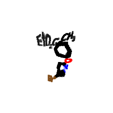 CCOC(=O)[C@]1(C)CC[C@H](Oc2ccc(Br)cn2)CC1